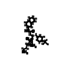 CC(C)(C)c1ccc(C[C@@H](CC(=O)Nc2ccc3ccccc3c2)NC(=O)[C@@H](N)CCCN)cc1